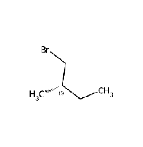 CC[C@H](C)CBr